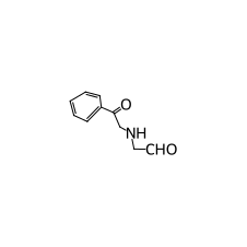 O=CCNCC(=O)c1ccccc1